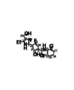 CCc1[nH]c(-c2cc(O)c(C(=O)Nc3c(F)cccc3Cl)cc2F)nc1CO